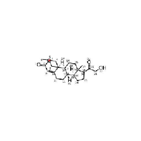 COCC12CCC(=O)C=C1CC[C@@H]1[C@@H]2CCC2(C)[C@@H](C(=O)CO)CC[C@@H]12